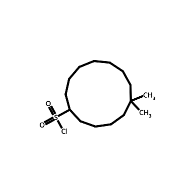 CC1(C)CCCCCCCC(S(=O)(=O)Cl)CCCC1